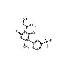 Cc1cc(=O)n(C(C)CS)c(=O)n1-c1cccc(C(F)(F)F)c1